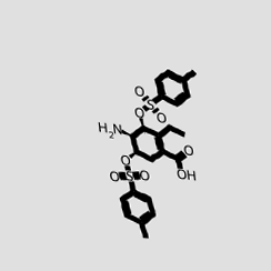 CCC1=C(C(=O)O)C[C@@H](OS(=O)(=O)c2ccc(C)cc2)[C@@H](N)[C@H]1OS(=O)(=O)c1ccc(C)cc1